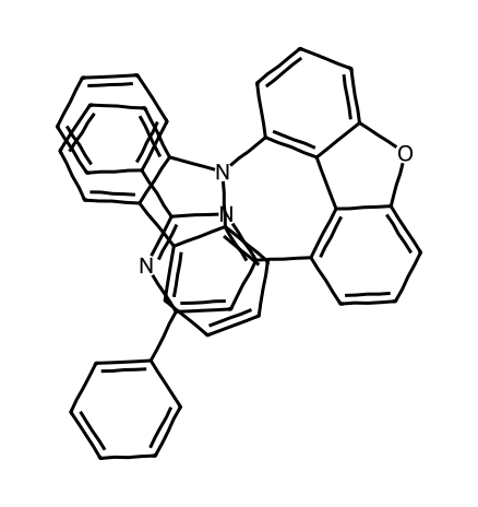 c1ccc(-c2cc(-c3cccc4oc5cccc(-n6c7ccccc7c7ccccc76)c5c34)nc(-c3ccccc3)n2)cc1